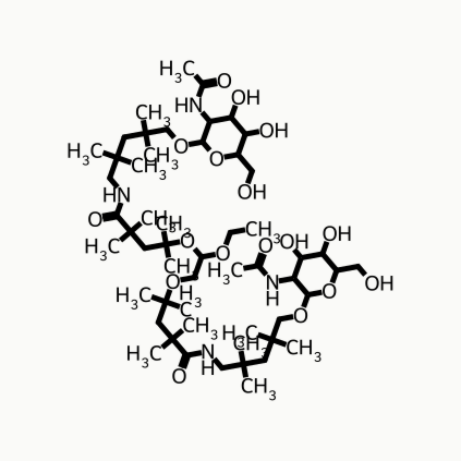 CCOC(COC(C)(C)CC(C)(C)C(=O)NCC(C)(C)CC(C)(C)COC1OC(CO)C(O)C(O)C1NC(C)=O)OC(C)(C)CC(C)(C)C(=O)NCC(C)(C)CC(C)(C)COC1OC(CO)C(O)C(O)C1NC(C)=O